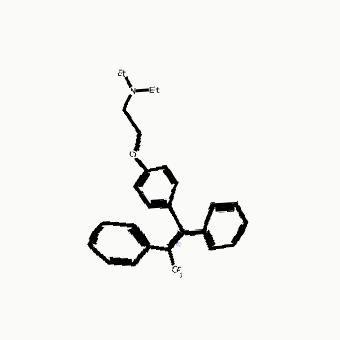 CCN(CC)CCOc1ccc(/C(=C(\c2ccccc2)C(F)(F)F)c2ccccc2)cc1